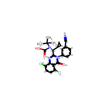 CC(C)(C)N(C(=O)O)[C@H](c1nc2c(Cl)ccc(Cl)c2c(=O)n1-c1cccc(C#N)c1)C1CC1